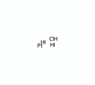 Cl.I.I.[Pt]